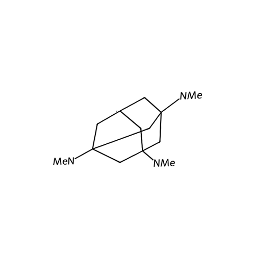 CNC12C[C]3CC(NC)(C1)CC(NC)(C3)C2